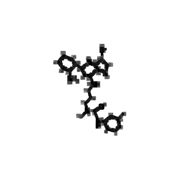 Cc1cccc(NC(=O)N(C)CCCNc2cc(-c3ccccc3N)nc3c(Br)cnn23)c1